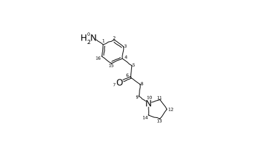 Nc1ccc(CC(=O)CCN2CCCC2)cc1